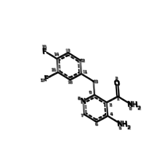 NC(=O)c1c(N)ccnc1Cc1ccc(F)c(F)c1